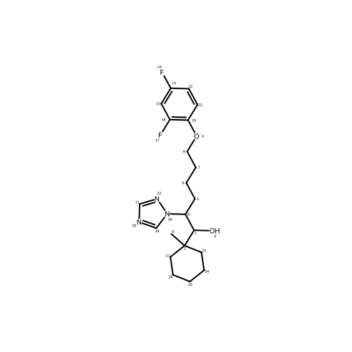 CC1(C(O)C(CCCCOc2ccc(F)cc2F)n2cncn2)CCCCC1